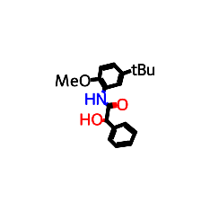 COc1ccc(C(C)(C)C)cc1NC(=O)C(O)c1ccccc1